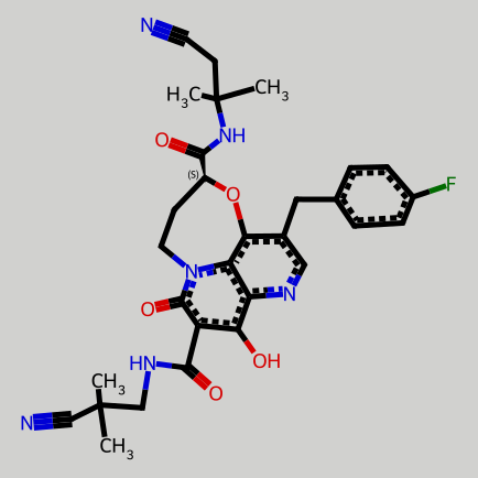 CC(C)(C#N)CNC(=O)c1c(O)c2ncc(Cc3ccc(F)cc3)c3c2n(c1=O)CC[C@@H](C(=O)NC(C)(C)CC#N)O3